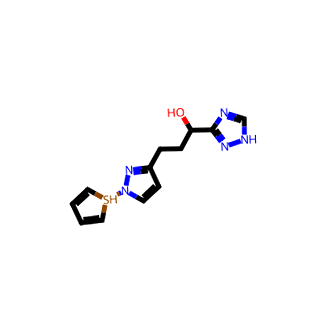 OC(CCc1ccn([SH]2C=CC=C2)n1)c1nc[nH]n1